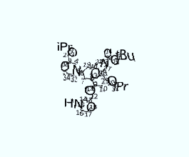 CC(C)OCC1CN(C(CCC(C)OCC2CNCCO2)CC2CN(C(=O)OC(C)(C)C)CC(COC(C)C)O2)CCO1